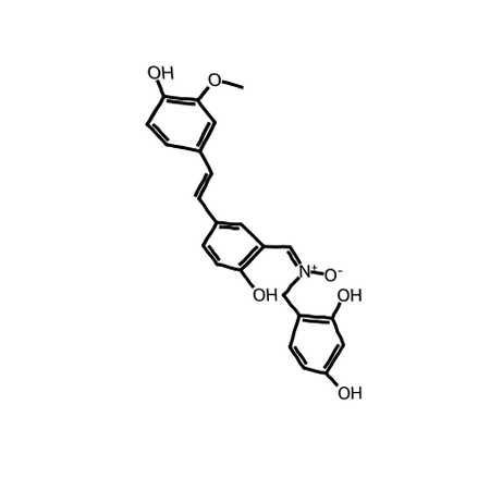 COc1cc(/C=C/c2ccc(O)c(/C=[N+](/[O-])Cc3ccc(O)cc3O)c2)ccc1O